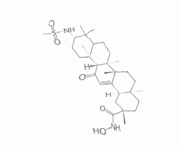 CC1(C)C2CC[C@]3(C)[C@H](C(=O)C=C4[C@@H]5C[C@@](C)(C(=O)NO)CC[C@]5(C)CC[C@]43C)[C@@]2(C)CC[C@@H]1NS(C)(=O)=O